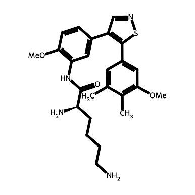 COc1ccc(-c2cnsc2-c2cc(C)c(C)c(OC)c2)cc1NC(=O)[C@H](N)CCCCN